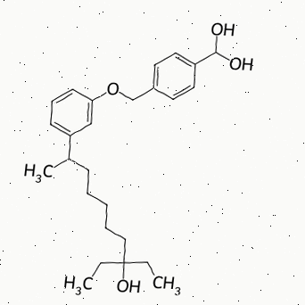 CCC(O)(CC)CCCCCC(C)c1cccc(OCc2ccc(C(O)O)cc2)c1